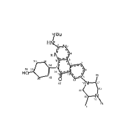 CCCCNc1ncc2c3ccc(N4CC(C)N(C)CC4C)cc3c(=O)n(C3CCC(O)CC3)c2n1